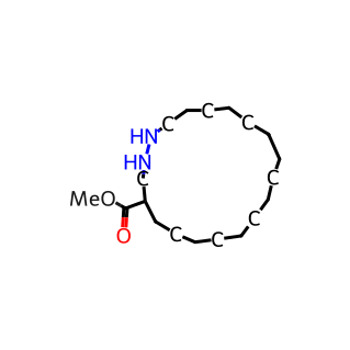 COC(=O)C1CCCCCCCCCCCCCCCNNC1